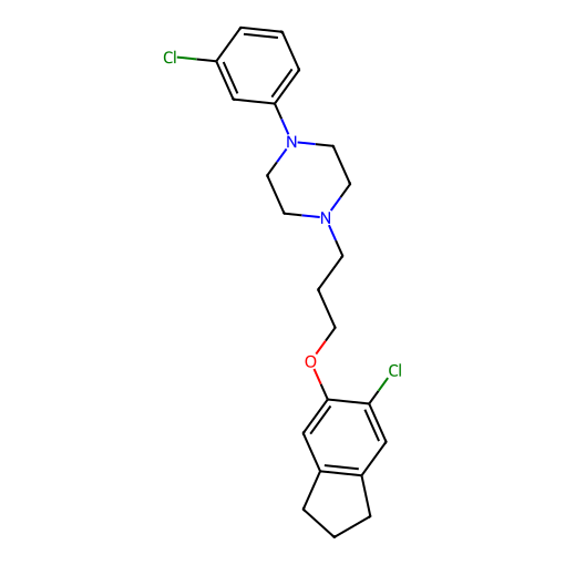 Clc1cccc(N2CCN(CCCOc3cc4c(cc3Cl)CCC4)CC2)c1